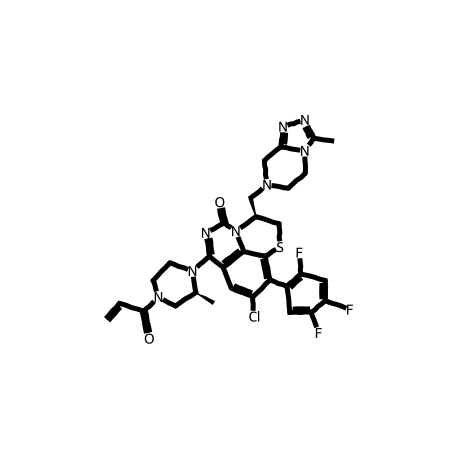 C=CC(=O)N1CCN(c2nc(=O)n3c4c(c(-c5cc(F)c(F)cc5F)c(Cl)cc24)SC[C@@H]3CN2CCn3c(C)nnc3C2)[C@@H](C)C1